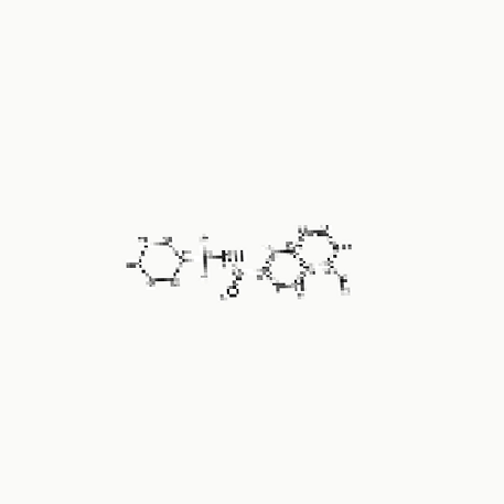 CC(C)(NC(=O)c1cnc2c(F)cccc2c1)C1CCCCC1